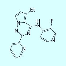 CCc1ccn2nc(-c3ccccn3)nc(Nc3ccncc3F)c12